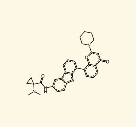 CN(C)C1(C(=O)Nc2ccc3sc4c(-c5cccc6c(=O)cc(N7CCCCC7)oc56)cccc4c3c2)CC1